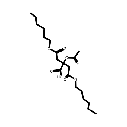 CCCCCCOC(=O)CC(CC(=O)OCCCCCC)(OC(C)=O)C(=O)O